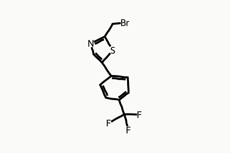 FC(F)(F)c1ccc(-c2cnc(CBr)s2)cc1